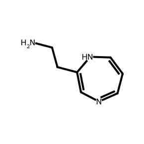 NCCC1=CN=CC=CN1